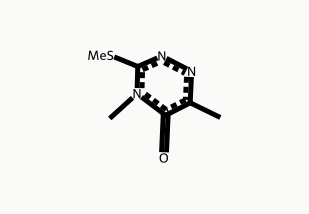 CSc1nnc(C)c(=O)n1C